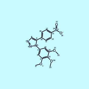 COc1cc(-n2nncc2-c2ccc([N+](=O)[O-])cc2)cc(OC)c1OC